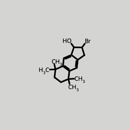 CC1(C)CCC(C)(C)c2cc3c(cc21)CC(Br)C3O